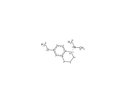 COc1ccc2c(c1)CCC[C@H]2N(C)C